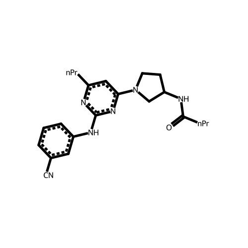 CCCC(=O)NC1CCN(c2cc(CCC)nc(Nc3cccc(C#N)c3)n2)C1